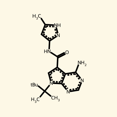 Cc1cc(NC(=O)c2cn(C(C)(C)C(C)(C)C)c3ncnc(N)c23)n[nH]1